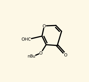 CCCCOc1c(C=O)occc1=O